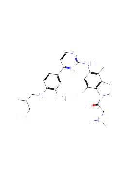 Cc1c(Nc2nccc(-c3ccc(NCC(C)CO)c(C#N)c3)n2)cc(Cl)c2c1CCN2C(=O)CN(C)C